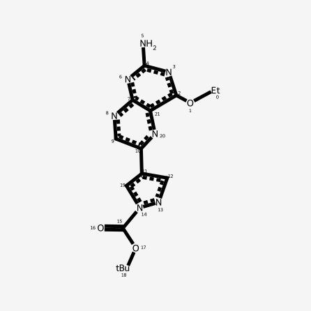 CCOc1nc(N)nc2ncc(-c3cnn(C(=O)OC(C)(C)C)c3)nc12